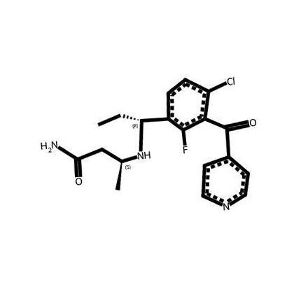 CC[C@@H](N[C@@H](C)CC(N)=O)c1ccc(Cl)c(C(=O)c2ccncc2)c1F